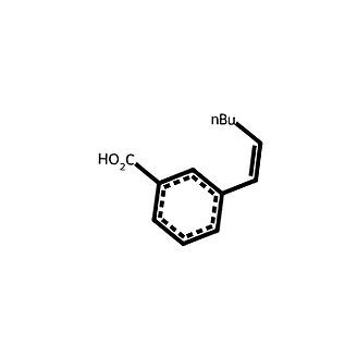 CCCC/C=C\c1cccc(C(=O)O)c1